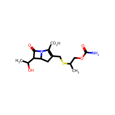 CC(COC(N)=O)SCC1=C(C(=O)O)N2C(=O)C(C(C)O)C2C1